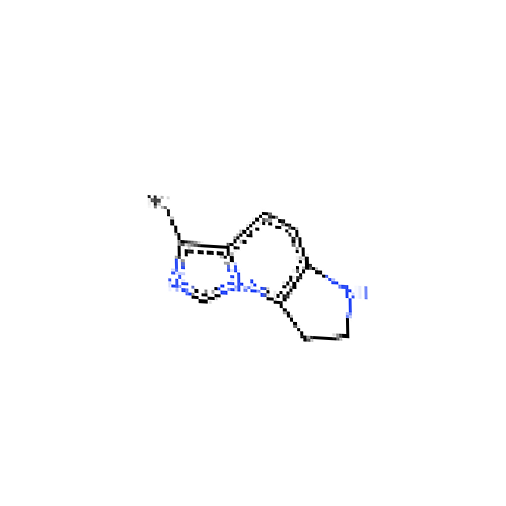 N#Cc1ncn2c3c(ccc12)NCC3